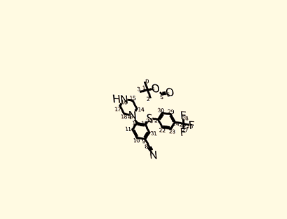 CC(C)(C)OC=O.N#Cc1ccc(N2CCNCC2)c(Sc2ccc(C(F)(F)F)cc2)c1